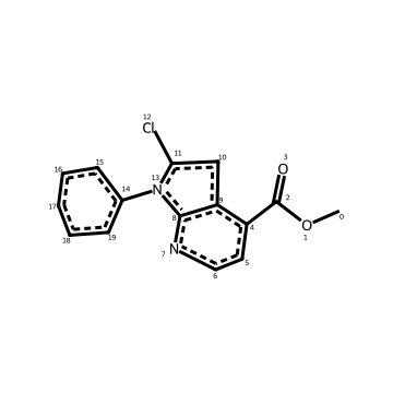 COC(=O)c1ccnc2c1cc(Cl)n2-c1ccccc1